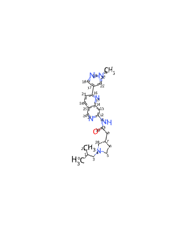 CC(C)CN1CCC(CC(=O)Nc2cc3nc(-c4cnn(C)c4)ccc3cn2)C1